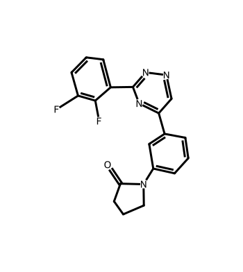 O=C1CCCN1c1cccc(-c2cnnc(-c3cccc(F)c3F)n2)c1